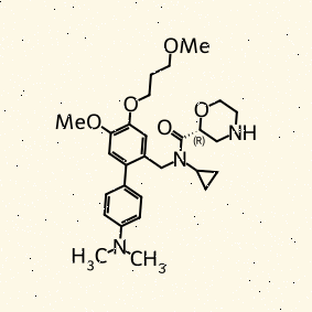 COCCCOc1cc(CN(C(=O)[C@H]2CNCCO2)C2CC2)c(-c2ccc(N(C)C)cc2)cc1OC